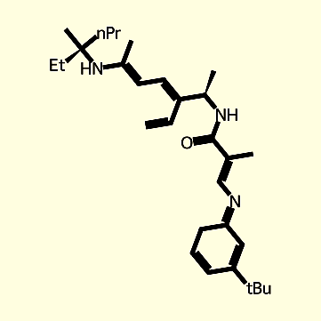 C=C/C(=C\C=C(/C)N[C@@](C)(CC)CCC)[C@@H](C)NC(=O)/C(C)=C/N=C1/C=C(C(C)(C)C)C=CC1